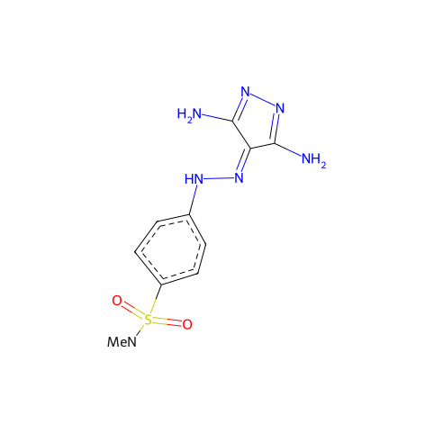 CNS(=O)(=O)c1ccc(NN=C2C(N)=NN=C2N)cc1